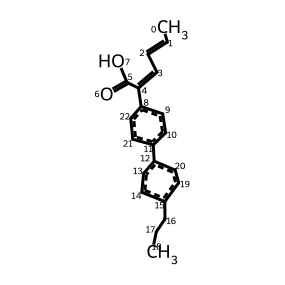 CC=CC=C(C(=O)O)c1ccc(-c2ccc(CCC)cc2)cc1